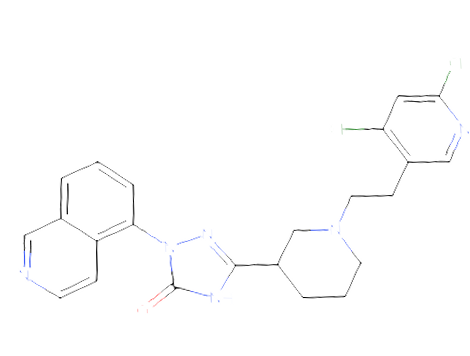 O=c1[nH]c(C2CCCN(CCc3cnc(Cl)cc3Cl)C2)nn1-c1cccc2cnccc12